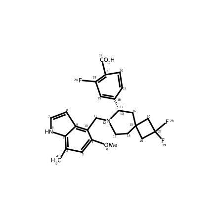 COc1cc(C)c2[nH]ccc2c1CN1CCC2(C[C@H]1c1ccc(C(=O)O)c(F)c1)CC(F)(F)C2